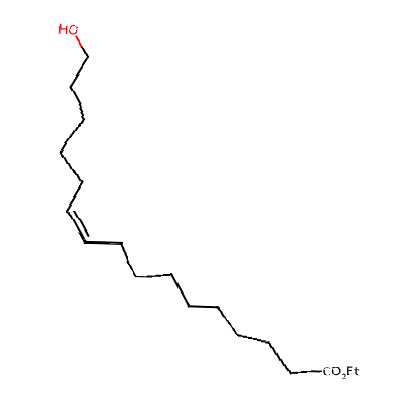 CCOC(=O)CCCCCCCC/C=C\CCCCCO